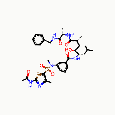 CC(=O)Nc1nc(C)c(S(=O)(=O)N(C)c2cccc(C(=O)N[C@@H](CC(C)C)[C@H](O)C[C@@H](C)C(=O)N[C@@H](C)C(=O)NCc3ccccc3)c2)s1